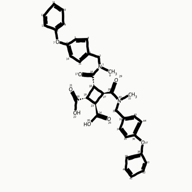 CN(Cc1ccc(Oc2ccccc2)cc1)C(=O)[C@H]1[C@@H](C(=O)O)[C@H](C(=O)O)[C@@H]1C(=O)N(C)Cc1ccc(Oc2ccccc2)cc1